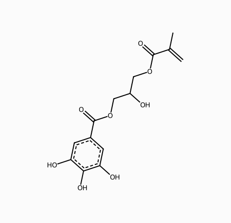 C=C(C)C(=O)OCC(O)COC(=O)c1cc(O)c(O)c(O)c1